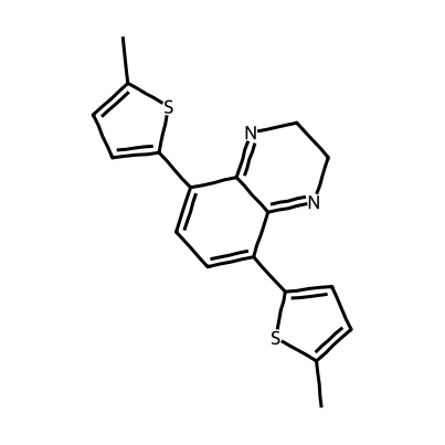 Cc1ccc(-c2ccc(-c3ccc(C)s3)c3c2=NCCN=3)s1